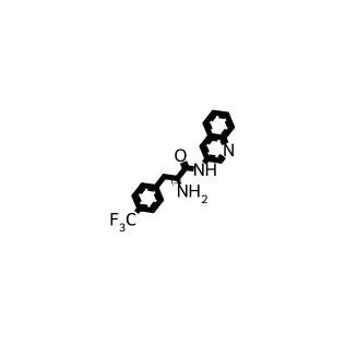 N[C@@H](Cc1ccc(C(F)(F)F)cc1)C(=O)Nc1cnc2ccccc2c1